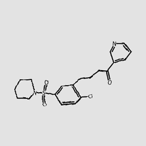 O=C(CCCc1cc(S(=O)(=O)N2CCCCC2)ccc1Cl)c1cccnc1